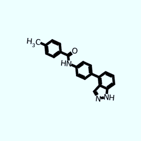 Cc1ccc(C(=O)Nc2ccc(-c3cccc4[nH]ncc34)cc2)cc1